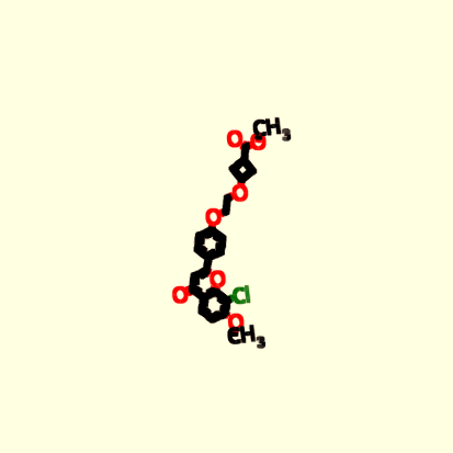 COC(=O)C1CC(OCCOc2ccc(-c3cc(=O)c4ccc(OC)c(Cl)c4o3)cc2)C1